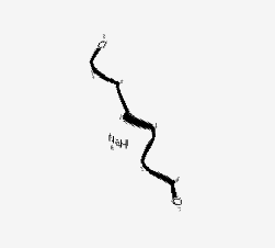 ClCCCCCCCl.[NaH]